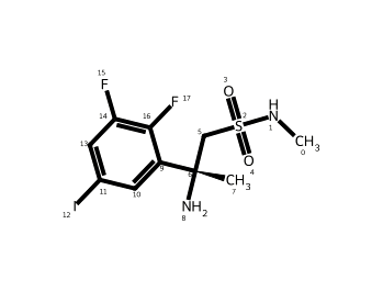 CNS(=O)(=O)C[C@](C)(N)c1cc(I)cc(F)c1F